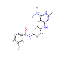 Cc1nc(NC2CCC(NC(=O)c3cccc(Cl)c3)CC2)cc(N(C)C)n1